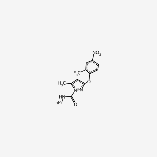 CCCNC(=O)n1nc(Oc2ccc([N+](=O)[O-])cc2C(F)(F)F)cc1C